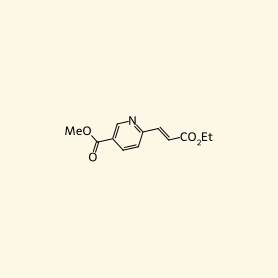 CCOC(=O)C=Cc1ccc(C(=O)OC)cn1